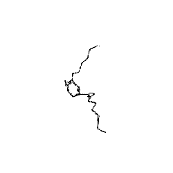 [CH2]CCCCCc1cc(OCCCCCC)ccn1